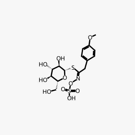 COc1ccc(CC(=NOS(=O)(=O)O)S[C@@H]2O[C@H](CO)[C@@H](O)[C@H](O)[C@H]2O)cc1